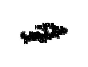 COc1cc(N=Nc2cc(C)c(N=Nc3cc(C)c(N=Nc4ccccc4S(=O)(=O)O)cc3OCCCS(=O)(=O)O)cc2OCCCS(=O)(=O)O)c(CO)cc1N=Nc1ccc2cc(Nc3ccccc3)ccc2c1O